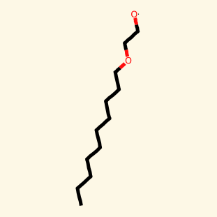 CCCCCCCCCCOCC[O]